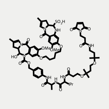 COc1cc2c(cc1OCCCCCOc1cc3c(cc1OC)C(=O)N1C=C(C)CC1C(O)N3C(=O)OCc1ccc(NC(=O)C(C)NC(=O)C(NC(=O)CCOC(C)(C)CCOC(C)(C)CCNC(=O)CCN3C(=O)C=CC3=O)C(C)C)cc1)NC(S(=O)(=O)O)C1CC(C)=CN1C2=O